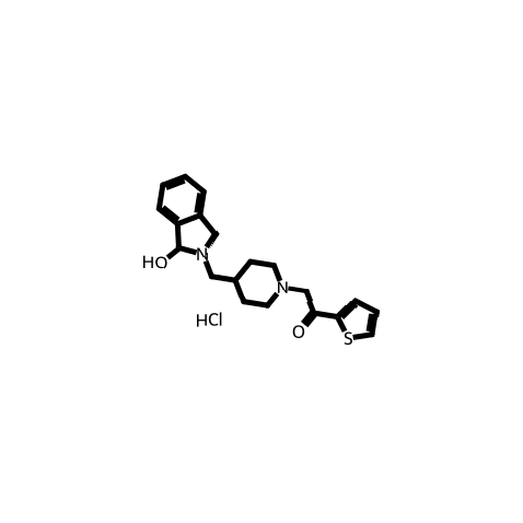 Cl.O=C(CN1CCC(CN2Cc3ccccc3C2O)CC1)c1cccs1